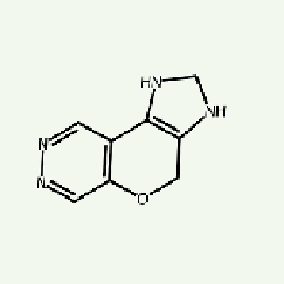 c1nncc2c1OCC1=C2NCN1